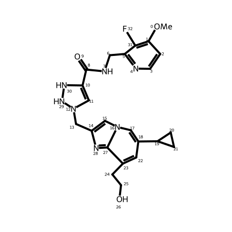 COc1ccnc(CNC(=O)C2=CN(Cc3cn4cc(C5CC5)cc(CCO)c4n3)NN2)c1F